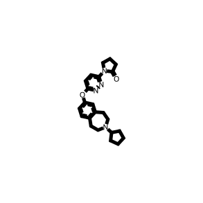 O=C1CCCN1c1ccc(Oc2ccc3c(c2)CCN(C2CCCC2)CC3)nn1